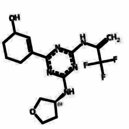 C=C(Nc1nc(N[C@H]2CCOC2)nc(C2=CC(O)CCC2)n1)C(F)(F)F